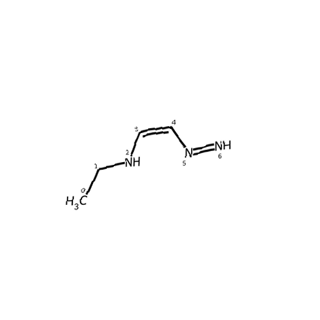 CCN/C=C\N=N